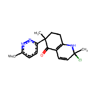 COc1ccc(C2(C)CCC3=C(C=CC(C)(Cl)N3)C2=O)nn1